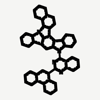 c1ccc2c(c1)cc(-c1nc(-n3c4ccccc4c4c5c6ccc7ccccc7c6n6c7ccccc7c(cc43)c56)c3ccccc3n1)c1ccccc12